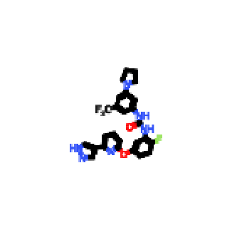 O=C(Nc1cc(N2CCCC2)cc(C(F)(F)F)c1)Nc1cc(Oc2cccc(-c3cn[nH]c3)n2)ccc1F